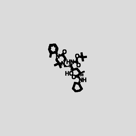 Cc1ccccc1N1CC(C)(C)N(C[C@H](NC(=O)OC(C)(C)C)[C@@H](O)C[C@@H](C)C(=O)NC2CCCCC2)CC1=O